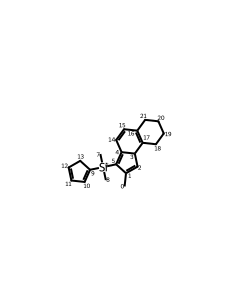 CC1=CC2C(=C1[Si](C)(C)C1=CC=CC1)C=CC1=C2CCCC1